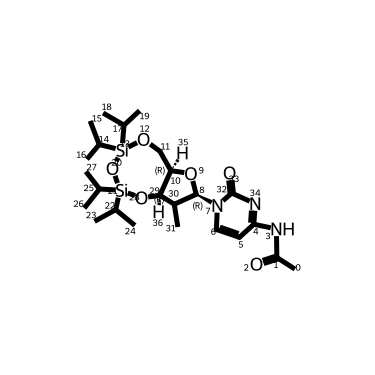 CC(=O)Nc1ccn([C@@H]2O[C@@H]3CO[Si](C(C)C)(C(C)C)O[Si](C(C)C)(C(C)C)O[C@@H]3C2C)c(=O)n1